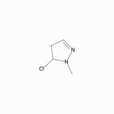 CN1N=C[CH]C1Cl